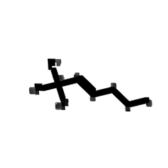 CCCC=CC(F)(F)F